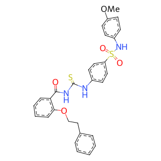 COc1ccc(NS(=O)(=O)c2ccc(NC(=S)NC(=O)c3ccccc3OCCc3ccccc3)cc2)cc1